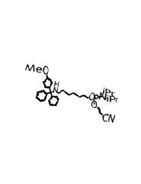 COc1ccc(C(NCCCCCCCOP(OCCC#N)N(C(C)C)C(C)C)(c2ccccc2)c2ccccc2)cc1